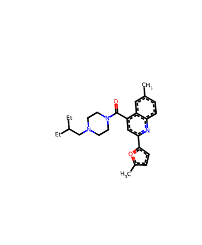 CCC(CC)CN1CCN(C(=O)c2cc(-c3ccc(C)o3)nc3ccc(C)cc23)CC1